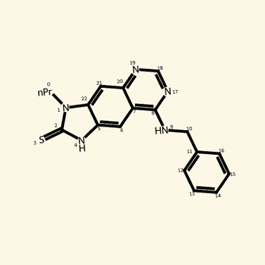 CCCn1c(=S)[nH]c2cc3c(NCc4ccccc4)ncnc3cc21